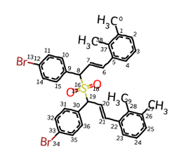 Cc1cccc(C=CC(c2ccc(Br)cc2)S(=O)(=O)C(C=Cc2cccc(C)c2C)c2ccc(Br)cc2)c1C